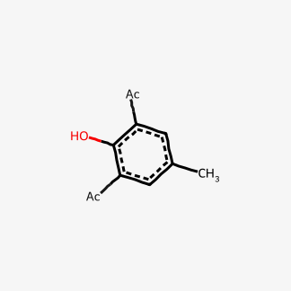 CC(=O)c1cc(C)cc(C(C)=O)c1O